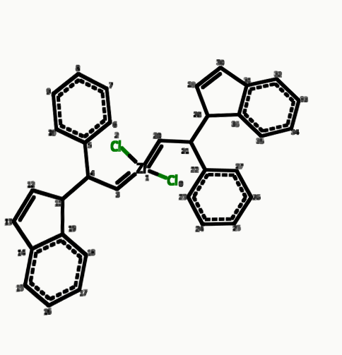 [Cl][Zr]([Cl])(=[CH]C(c1ccccc1)C1C=Cc2ccccc21)=[CH]C(c1ccccc1)C1C=Cc2ccccc21